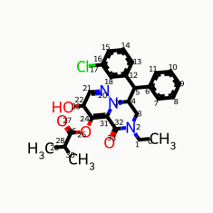 CCN1CC(C(c2ccccc2)c2cccc(Cl)c2)N2N=CC(O)C(OC(=O)C(C)C)=C2C1=O